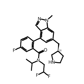 CC(C)N(CC(F)F)C(=O)c1cc(F)ccc1-c1cc(C[C@H]2CCNC2)cc2c1cnn2C